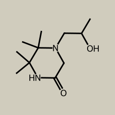 CC(O)CN1CC(=O)NC(C)(C)C1(C)C